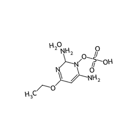 CCOC1=NC(N)N(OS(=O)(=O)O)C(N)=C1.O